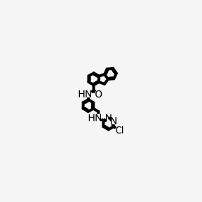 O=C(Nc1cccc(CNc2ccc(Cl)nn2)c1)c1cccc2c1Cc1ccccc1-2